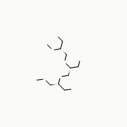 CNC[C@H](CS)NC[C@H](CS)NC[C@H](CS)NC